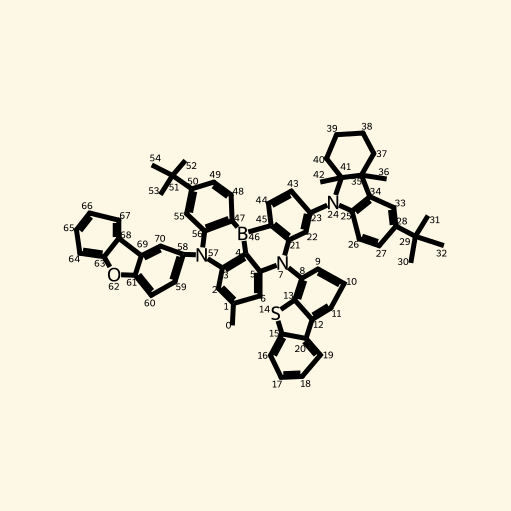 Cc1cc2c3c(c1)N(c1cccc4c1sc1ccccc14)c1cc(N4c5ccc(C(C)(C)C)cc5C5(C)CCCCC45C)ccc1B3c1ccc(C(C)(C)C)cc1N2c1ccc2oc3ccccc3c2c1